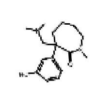 CN(C)CC1(c2cccc(O)c2)CCCCN(C)C1=O